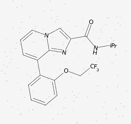 CC(C)NC(=O)c1cn2cccc(-c3ccccc3OCC(F)(F)F)c2n1